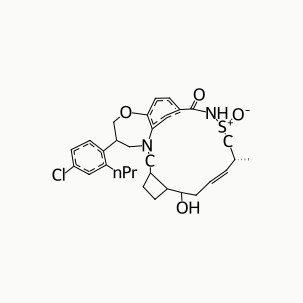 CCCc1cc(Cl)ccc1C1COc2ccc3cc2N(C1)CC1CCC1C(O)C/C=C/[C@@H](C)C[S+]([O-])NC3=O